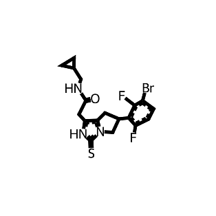 O=C(Cc1[nH]c(=S)n2c1CC(c1c(F)ccc(Br)c1F)C2)NCC1CC1